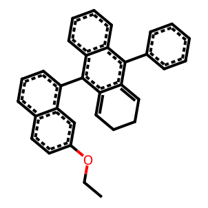 CCOc1ccc2cccc(-c3c4c(c(-c5ccccc5)c5ccccc35)=CCCC=4)c2c1